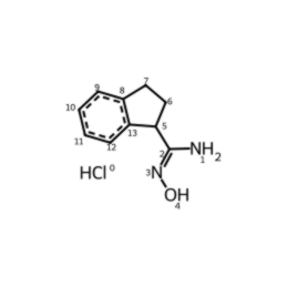 Cl.NC(=NO)C1CCc2ccccc21